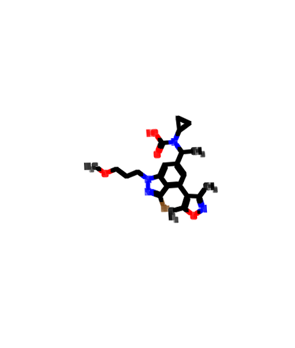 COCCCn1nc(Br)c2c(-c3c(C)noc3C)cc(C(C)N(C(=O)O)C3CC3)cc21